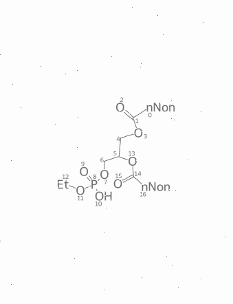 CCCCCCCCCC(=O)OCC(COP(=O)(O)OCC)OC(=O)CCCCCCCCC